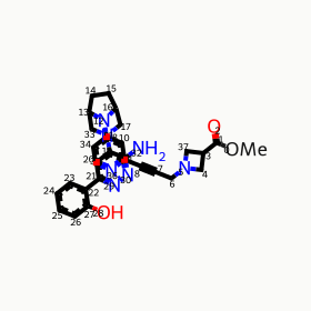 COC(=O)C1CN(CC#Cc2cc(N3C4CCC3CN(c3cc(-c5ccccc5O)nnc3N)C4)ccn2)C1